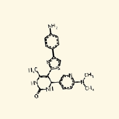 CC1=C(c2nc(-c3ccc(N)cc3)cs2)C(c2ccc(N(C)C)nc2)NC(=O)N1